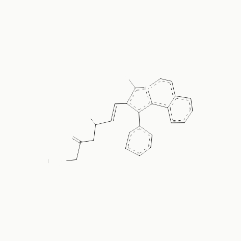 CC(C)c1c(C=CC(O)CC(=O)CC(=O)O)c(-c2ccccc2)c2c3ccccc3ccn12